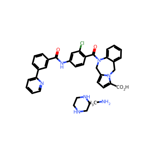 C1CNCCN1.CN.O=C(Nc1ccc(C(=O)N2Cc3ccc(C(=O)O)n3Cc3ccccc32)c(Cl)c1)c1cccc(-c2ccccn2)c1